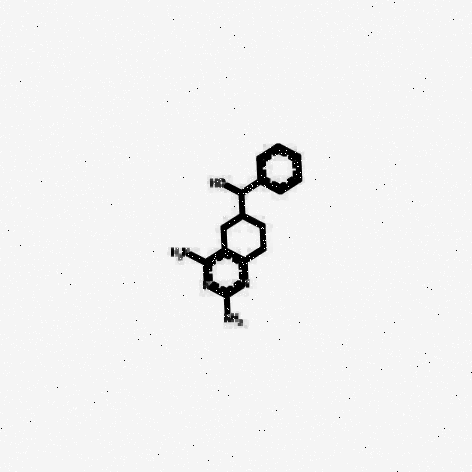 Nc1nc(N)c2c(n1)CCC(C(O)c1ccccc1)C2